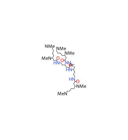 CNCCCCC(CC(=O)NCCCC(CC(C)=O)NC(=O)CC(CCNC(=O)CC(CCCCNC)NC)NC(=O)CC(CCCCNC)NC)NC